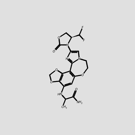 CC(Nc1cc2c(c3c1OCO3)-c1nc(N3C(=O)OC[C@H]3C(F)F)cn1CCO2)C(N)=O